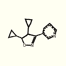 c1cncc(C2=NOC(C3CC3)C2C2CC2)c1